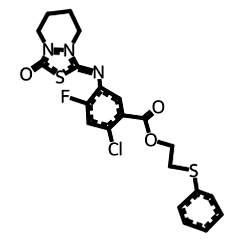 O=C(OCCSc1ccccc1)c1cc(N=c2sc(=O)n3n2CCCC3)c(F)cc1Cl